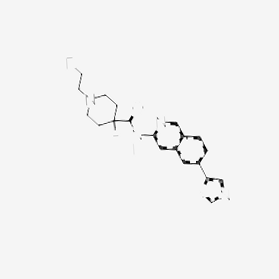 O=C(Nc1cc2cc(-c3cncs3)ccc2cn1)C1(F)CCN(CCF)CC1